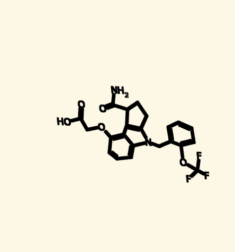 NC(=O)C1CCc2c1c1c(OCC(=O)O)cccc1n2Cc1ccccc1OC(F)(F)F